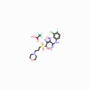 NC(c1nonc1/C(=N\O)Nc1ccc(F)c(Cl)c1)S(=O)(=O)CCCN1CCOCC1.O=C(O)C(F)(F)F